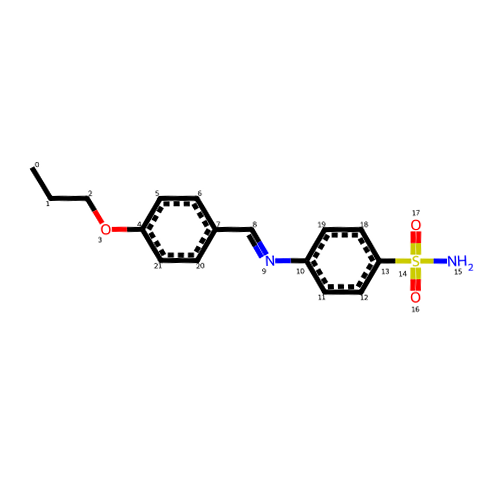 CCCOc1ccc(C=Nc2ccc(S(N)(=O)=O)cc2)cc1